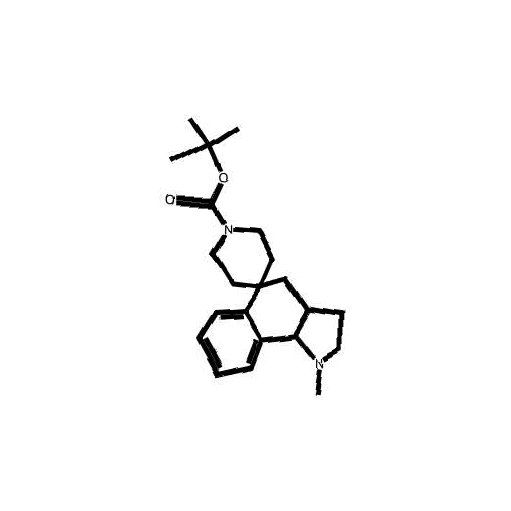 CN1CCC2CC3(CCN(C(=O)OC(C)(C)C)CC3)c3ccccc3C21